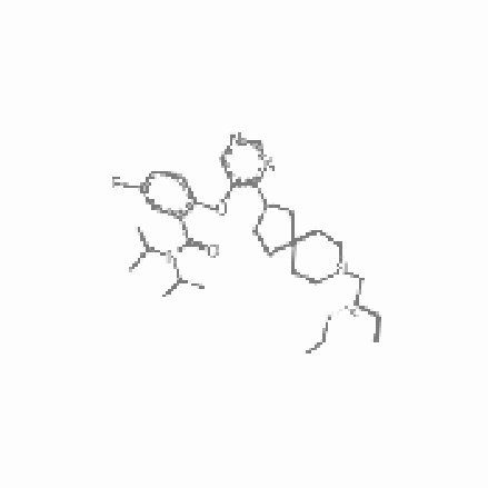 CCC[C@@H](CC)CN1CCC2(CCC(c3ncncc3Oc3ccc(F)cc3C(=O)N(C(C)C)C(C)C)C2)CC1